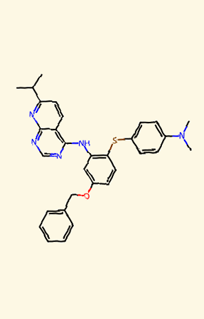 CC(C)c1ccc2c(Nc3cc(OCc4ccccc4)ccc3Sc3ccc(N(C)C)cc3)ncnc2n1